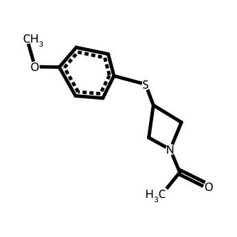 COc1ccc(SC2CN(C(C)=O)C2)cc1